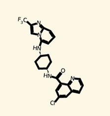 O=C(N[C@H]1CC[C@@H](Nc2cccc3nc(C(F)(F)F)cn23)CC1)c1cc(Cl)cc2cccnc12